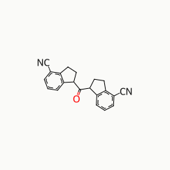 N#Cc1cccc2c1CCC2C(=O)C1CCc2c(C#N)cccc21